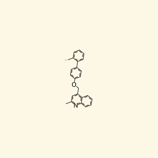 [CH2]c1ccccc1-c1ccc(OCc2cc(C)nc3ccccc23)cc1